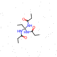 CCC(=O)N[Si](CC)(NC(=O)CC)NC(=O)CC